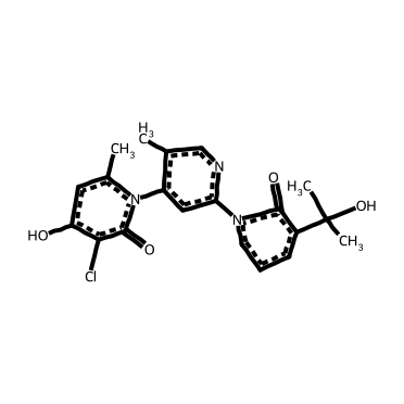 Cc1cnc(-n2cccc(C(C)(C)O)c2=O)cc1-n1c(C)cc(O)c(Cl)c1=O